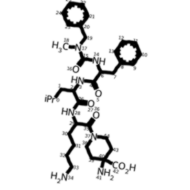 CC(C)CC(NC(=O)C(Cc1ccccc1)NC(=O)N(C)Cc1ccccc1)C(=O)NC(CCCCN)C(=O)N1CCC(N)(C(=O)O)CC1